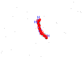 O=C1CC[C@H](Nc2ccc(C3CCN(CC(=O)N4CCN(c5ncc(-n6cnc7ccc(Oc8c(F)ccc(NS(=O)(=O)C9CCCC9)c8F)cc7c6=O)cn5)CC4)CC3)c(F)c2)C(=O)N1